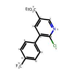 CCOC(=O)c1cnc(Cl)c(-c2ccc(C(F)(F)F)cc2)c1